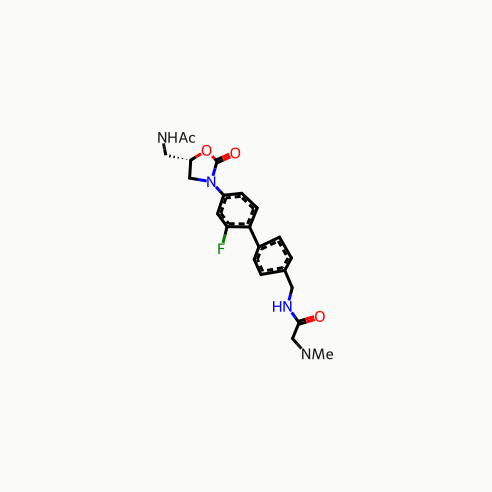 CNCC(=O)NCc1ccc(-c2ccc(N3C[C@H](CNC(C)=O)OC3=O)cc2F)cc1